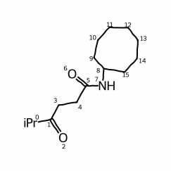 CC(C)C(=O)CCC(=O)NC1CCCCCCC1